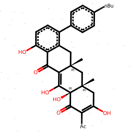 CCCCc1ccc(-c2ccc(O)c3c2C[C@]2(C)C[C@]4(C)CC(O)=C(C(C)=O)C(=O)[C@]4(O)C(O)=C2C3=O)cc1